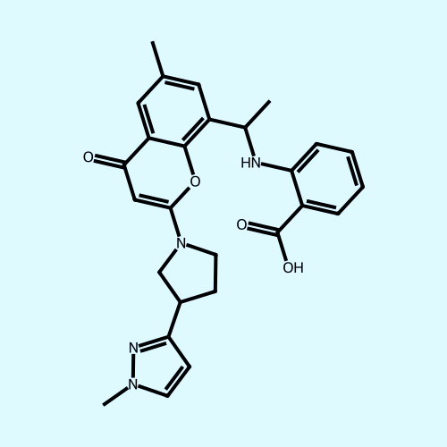 Cc1cc(C(C)Nc2ccccc2C(=O)O)c2oc(N3CCC(c4ccn(C)n4)C3)cc(=O)c2c1